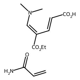 C=CC(N)=O.CCOC(=O)C(C=CC(=O)O)=CN(C)C